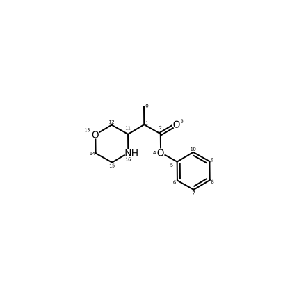 CC(C(=O)Oc1ccccc1)C1COCCN1